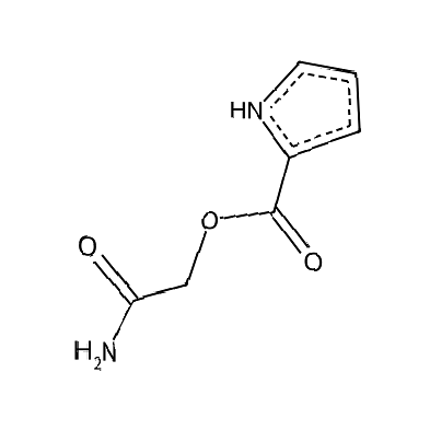 NC(=O)COC(=O)c1ccc[nH]1